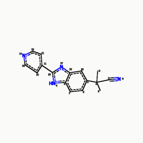 CC(C)(C#N)c1ccc2[nH]c(-c3ccncc3)nc2c1